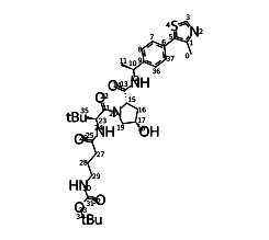 Cc1ncsc1-c1ccc([C@H](C)NC(=O)[C@@H]2C[C@@H](O)CN2C(=O)[C@@H](NC(=O)CCCNC(=O)OC(C)(C)C)C(C)(C)C)cc1